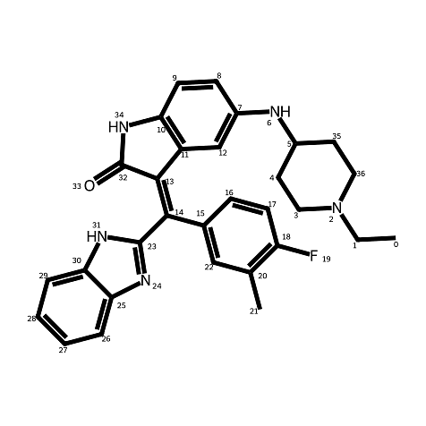 CCN1CCC(Nc2ccc3c(c2)C(=C(c2ccc(F)c(C)c2)c2nc4ccccc4[nH]2)C(=O)N3)CC1